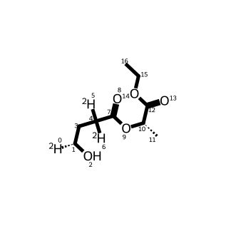 [2H][C@@H](O)CC([2H])([2H])C(=O)O[C@@H](C)C(=O)OCC